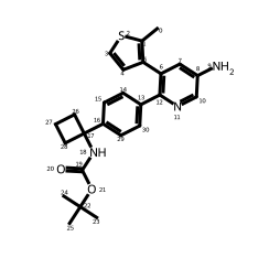 Cc1sccc1-c1cc(N)cnc1-c1ccc(C2(NC(=O)OC(C)(C)C)CCC2)cc1